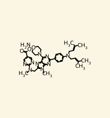 CC(C)=CCN(CC=C(C)C)c1ccc(-c2nc(N3CCOCC3)c3nc(CN(C)c4ncc(C(=O)ON)cn4)n(C)c3n2)cc1